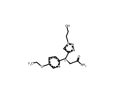 NC(=O)C[C@@H](c1ccc(OCC(F)(F)F)cn1)c1cn(CCO)nn1